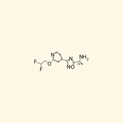 C[C@H](N)c1nc(-c2ccnc(OCC(F)F)c2)no1